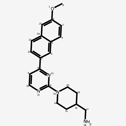 COc1ccc2cc(-c3ccnc(N4CCC(CN)CC4)n3)ccc2c1